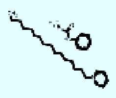 CCCCCCCCCCCCCCCC[n+]1ccccc1.COC(=O)Nc1ccccc1